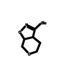 CC(C)(C)C1=NOC2COCCC12